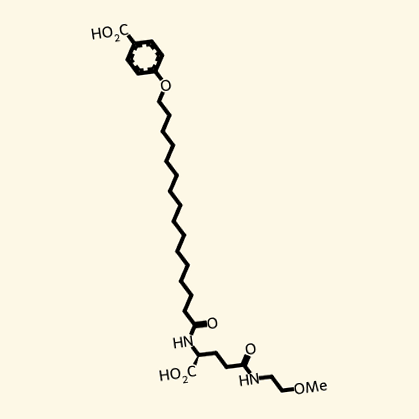 COCCNC(=O)CC[C@H](NC(=O)CCCCCCCCCCCCCCCOc1ccc(C(=O)O)cc1)C(=O)O